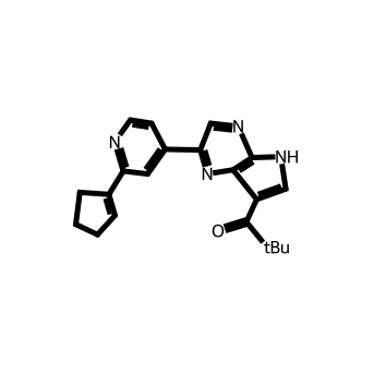 CC(C)(C)C(=O)c1c[nH]c2ncc(-c3ccnc(C4=CCCC4)c3)nc12